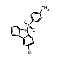 Cc1ccc(S(=O)(=O)n2c3ccccc3c3cc(Br)ccc32)cc1